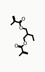 C=C(C)C(=O)OCC(CC)COC(=O)C(=C)C